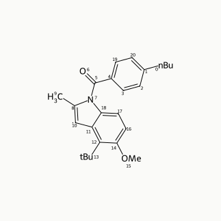 CCCCc1ccc(C(=O)n2c(C)[c]c3c(C(C)(C)C)c(OC)ccc32)cc1